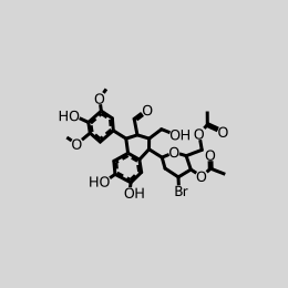 COc1cc(C2c3cc(O)c(O)cc3C(C3CC(Br)C(OC(C)=O)C(COC(C)=O)O3)C(CO)C2C=O)cc(OC)c1O